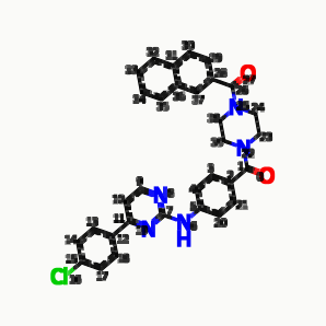 O=C(c1ccc(Nc2nccc(-c3ccc(Cl)cc3)n2)cc1)N1CCN(C(=O)c2ccc3ccccc3c2)CC1